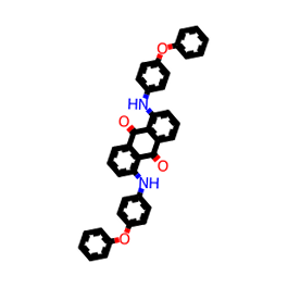 O=C1c2cccc(Nc3ccc(Oc4ccccc4)cc3)c2C(=O)c2cccc(Nc3ccc(Oc4ccccc4)cc3)c21